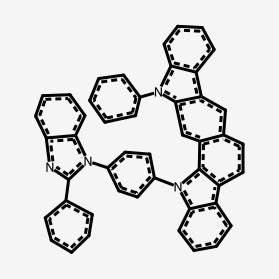 c1ccc(-c2nc3ccccc3n2-c2ccc(-n3c4ccccc4c4ccc5cc6c7ccccc7n(-c7ccccc7)c6cc5c43)cc2)cc1